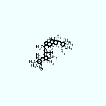 CCC1CC(CC(CCC(C)C2CCC3(C)C4CC=C5C(CCC(CC6CC(C)C(C)C(C)C6C)C5(C)C)C4(C)CCC23C)C(C)(C)C#N)C(CC2CC(CN=O)C(C)C(C)C2N)C(C)C1C